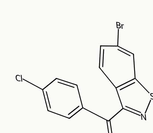 C=C(c1ccc(Cl)cc1)c1nsc2cc(Br)ccc12